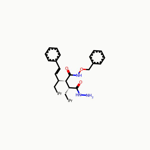 CC(C)CC(/C=C/c1ccccc1)[C@H](C(=O)NOCc1ccccc1)[C@@H](CC(C)C)C(=O)NN